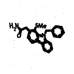 CSc1c(CC(N)=O)ccc2c3ccccc3n(Cc3ccccc3)c12